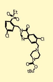 CCS(=O)(=O)c1ccc(Cl)cc1Cn1cnc2cc(CN3CCN(C(=O)OC(C)(C)C)CC3)c(Cl)cc2c1=O